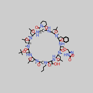 CCCCN1CC(=O)N(C)[C@@H](CC(C)C)C(=O)N[C@@H](COC(C)(C)C)C(=O)N(C)[C@@H](CC(C)C)C(=O)N(C)[C@@H](CC(C)C)C(=O)N[C@H](C(=O)N2CCCCC2)CC(=O)N[C@H](CC(C)C)C(=O)N(C)[C@@H](Cc2ccccc2)C(=O)NC(COCc2noc(=O)[nH]2)C(=O)N(C)[C@@H](CC(C)C)C(=O)N[C@@H]([C@@H](C)O)C1=O